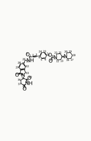 O=C(C#Cc1ccc(OC(=O)N2CCC(N3CCCCC3)CC2)cc1)NCc1ccc2c(c1)CN(C1CCC(=O)NC1=O)C2=O